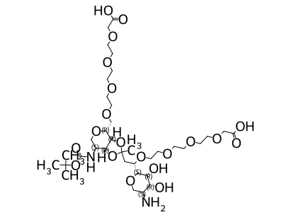 CC(C)(C)OC(=O)N[C@H]1CO[C@H](COCCOCCOCCOCC(=O)O)[C@@H]2OC(C)(CC(OCCOCCOCCOCC(=O)O)[C@H]3OC[C@H](N)[C@@H](O)[C@H]3O)O[C@@H]21